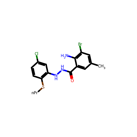 CCCSc1ccc(Cl)cc1NNC(=O)c1cc(C)cc(Br)c1N